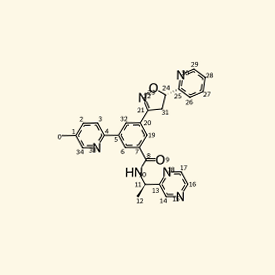 Cc1ccc(-c2cc(C(=O)N[C@H](C)c3cnccn3)cc(C3=NO[C@H](c4ccccn4)C3)c2)nc1